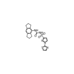 O=C(Nc1c2c(cc3c1CCC3)CCC2)NS(=O)(=O)c1ccn(-c2nccs2)n1